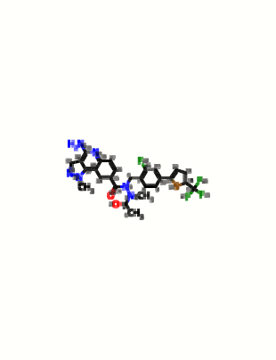 CC(=O)N(C)N(Cc1ccc(-c2ccc(C(F)(F)F)s2)cc1F)C(=O)c1ccc2nc(N)c3cnn(C)c3c2c1